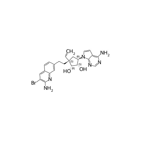 C=C[C@]1(CCc2ccc3cc(Br)c(N)nc3c2)C[C@@H](n2ccc3c(N)ncnc32)[C@H](O)[C@@H]1O